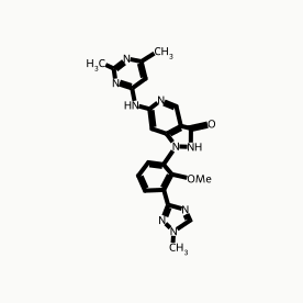 COc1c(-c2ncn(C)n2)cccc1-n1[nH]c(=O)c2cnc(Nc3cc(C)nc(C)n3)cc21